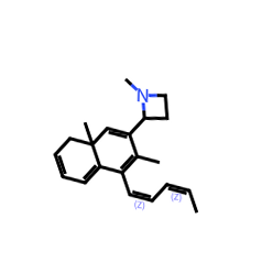 C/C=C\C=C/C1=C(C)C(C2CCN2C)=CC2(C)CC=CC=C12